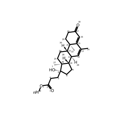 CCCOC(=O)CC[C@]1(O)CC[C@H]2[C@@H]3C=C(C)C4=CC(=O)CC[C@]4(C)[C@H]3CC[C@@]21C